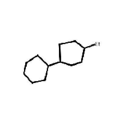 CCC1CCC(C2CCCCC2)CC1